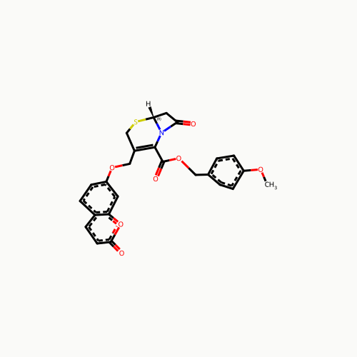 COc1ccc(COC(=O)C2=C(COc3ccc4ccc(=O)oc4c3)CS[C@@H]3CC(=O)N23)cc1